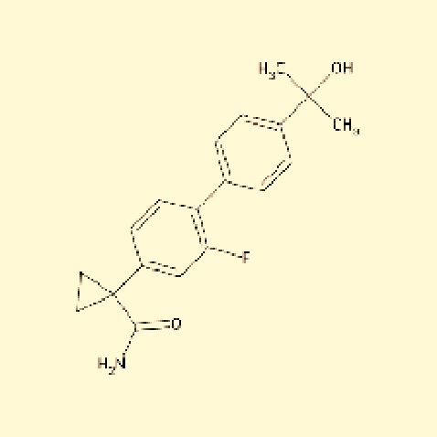 CC(C)(O)c1ccc(-c2ccc(C3(C(N)=O)CC3)cc2F)cc1